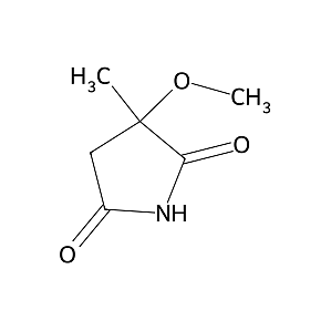 COC1(C)CC(=O)NC1=O